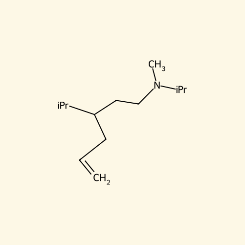 C=CCC(CCN(C)C(C)C)C(C)C